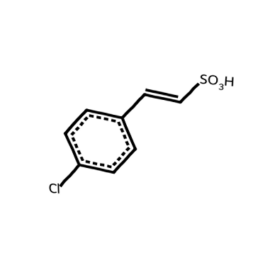 O=S(=O)(O)C=Cc1ccc(Cl)cc1